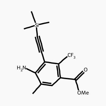 COC(=O)c1cc(C)c(N)c(C#C[Si](C)(C)C)c1C(F)(F)F